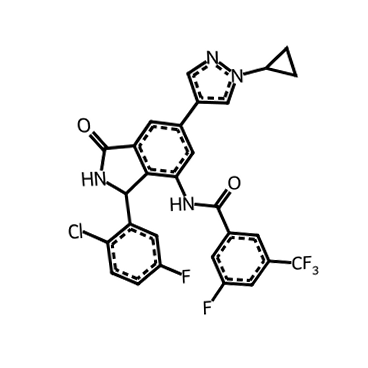 O=C(Nc1cc(-c2cnn(C3CC3)c2)cc2c1C(c1cc(F)ccc1Cl)NC2=O)c1cc(F)cc(C(F)(F)F)c1